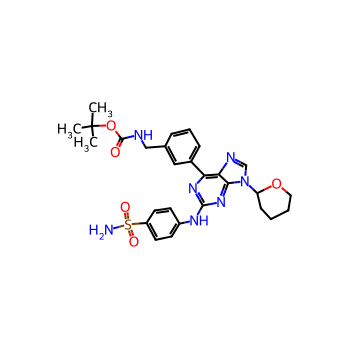 CC(C)(C)OC(=O)NCc1cccc(-c2nc(Nc3ccc(S(N)(=O)=O)cc3)nc3c2ncn3C2CCCCO2)c1